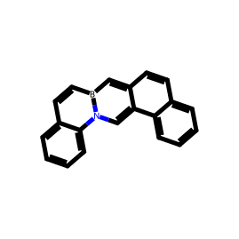 C1=Cc2ccccc2N2C=c3c(ccc4ccccc34)=CB12